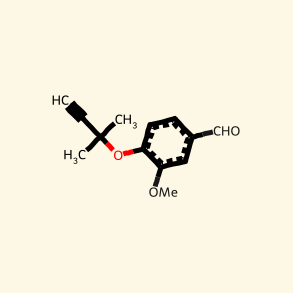 C#CC(C)(C)Oc1ccc(C=O)cc1OC